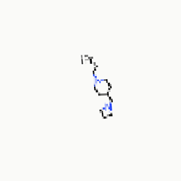 CC(C)CCN1CCC(CN2CCC2)CC1